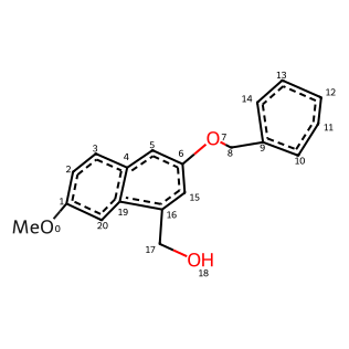 COc1ccc2cc(OCc3ccccc3)cc(CO)c2c1